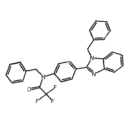 O=C(N(Cc1ccccc1)c1ccc(-c2nc3ccccc3n2Cc2ccccc2)cc1)C(F)(F)F